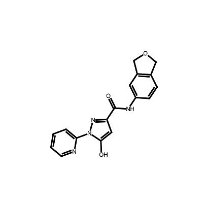 O=C(Nc1ccc2c(c1)COC2)c1cc(O)n(-c2ccccn2)n1